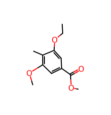 CCOc1cc(C(=O)OC)cc(OC)c1C